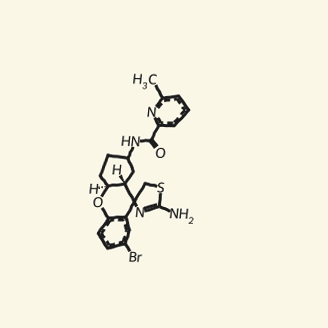 Cc1cccc(C(=O)NC2CC[C@@H]3Oc4ccc(Br)cc4C4(CSC(N)=N4)[C@H]3C2)n1